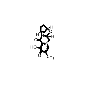 Cc1cn2c(c(O)c1=O)C(=O)N1[C@H]3CC[C@H](C3)O[C@@H]1C2